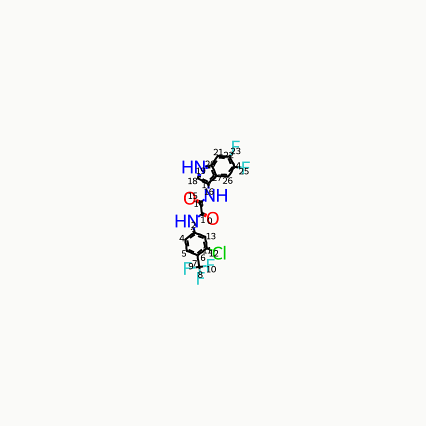 O=C(Nc1ccc(C(F)(F)F)c(Cl)c1)C(=O)Nc1c[nH]c2cc(F)c(F)cc12